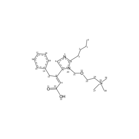 CCCCc1ncc(C(=CC(=O)O)Cc2ccccc2)n1COCC[Si](C)(C)C